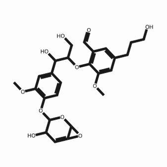 COc1cc(C(O)C(CO)Oc2c(C=O)cc(CCCO)cc2OC)ccc1OC1OC2OC2=CC1O